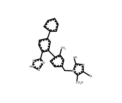 CCCc1nc(CC)c(C(=O)O)n1Cc1ccc(-c2cc(-c3ccccc3)ccc2-c2nn[nH]n2)c(C)c1